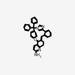 Nc1ccc2c(n1)CCC(=Cc1ccccc1-c1cn(C(c3ccccc3)(c3ccccc3)c3ccccc3)cn1)C2=O